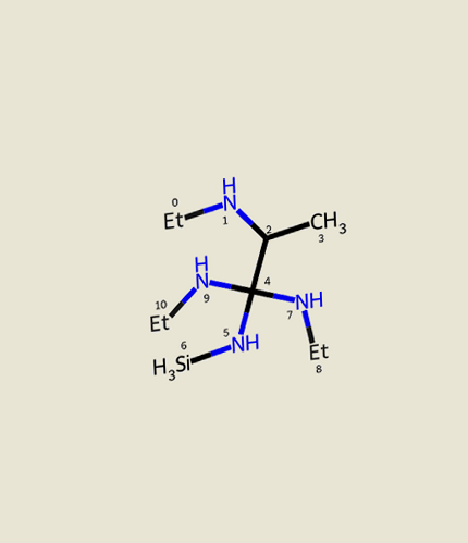 CCNC(C)C(N[SiH3])(NCC)NCC